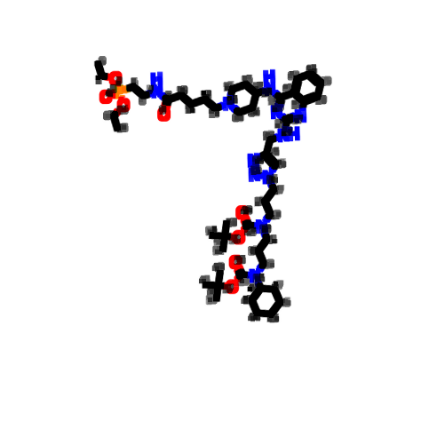 CCOP(=O)(CCNC(=O)CCCCN1CCC(Nc2nc(NCc3cn(CCCN(CCCN(C(=O)OC(C)(C)C)C4CCCCC4)C(=O)OC(C)(C)C)nn3)nc3ccccc23)CC1)OCC